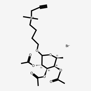 C#CC[N+](C)(C)CCCCOC1O[C@@H](C)[C@@H](OC(C)=O)[C@@H](OC(C)=O)[C@@H]1OC(C)=O.[Br-]